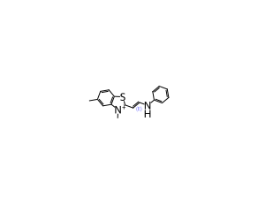 Cc1ccc2sc(/C=C/Nc3ccccc3)[n+](C)c2c1